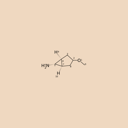 COC1C[C@@H]2[C@@H](N)[C@@H]2C1